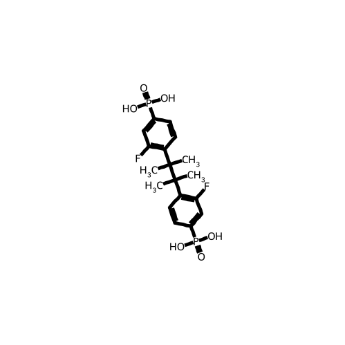 CC(C)(c1ccc(P(=O)(O)O)cc1F)C(C)(C)c1ccc(P(=O)(O)O)cc1F